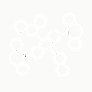 c1ccc2c(c1)CCc1ccccc1N2c1ccc2c(-c3cc4ccccc4c4ccccc34)c3cc(N4c5ccccc5CCc5ccccc54)ccc3c(-c3ccc4ccccc4c3)c2c1